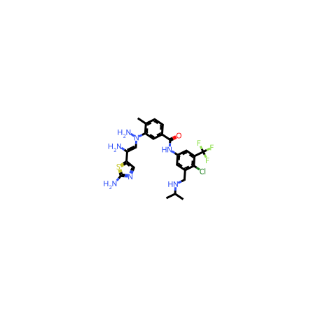 Cc1ccc(C(=O)Nc2cc(CNC(C)C)c(Cl)c(C(F)(F)F)c2)cc1N(N)/C=C(\N)c1cnc(N)s1